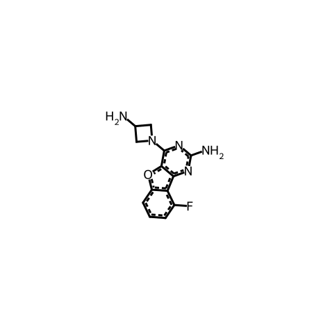 Nc1nc(N2CC(N)C2)c2oc3cccc(F)c3c2n1